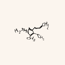 C=CCc1cn(N)c(C)c1C